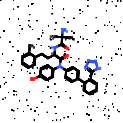 Cc1ccccc1CC[C@@H](NC(=O)C(C)(C)N)C(=O)N(c1ccc(O)cc1)c1ccc(-c2ccccc2-c2nnn[nH]2)cc1